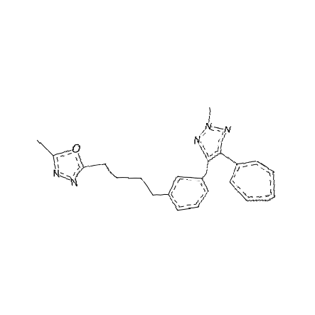 Cc1nnc(CCCCc2cccc(-c3nn(C)nc3-c3ccccc3)c2)o1